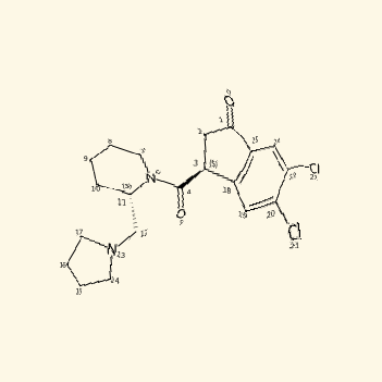 O=C1C[C@H](C(=O)N2CCCC[C@H]2CN2CCCC2)c2cc(Cl)c(Cl)cc21